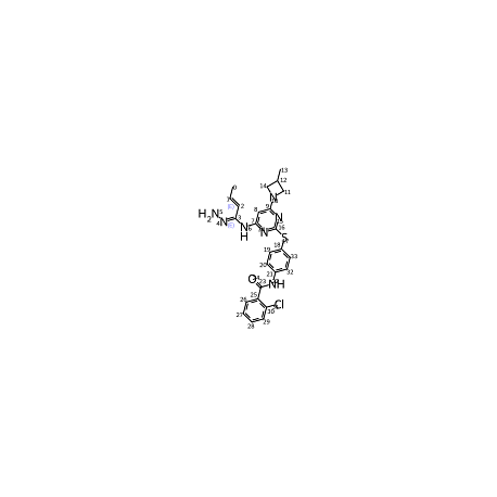 C/C=C/C(=N\N)Nc1cc(N2CC(C)C2)nc(Sc2ccc(NC(=O)c3ccccc3Cl)cc2)n1